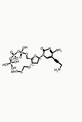 CSSCO[C@H]1C[C@H](n2cc(C#CCN)c(N)nc2=O)O[C@@H]1COP(=O)(O)OP(=O)(O)O[PH](O)(O)O